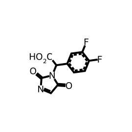 O=C(O)C(c1ccc(F)c(F)c1)N1C(=O)C=NC1=O